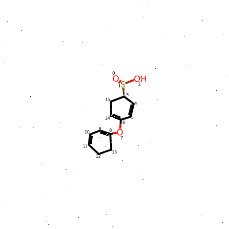 O=S(O)[C@H]1C=CC(OC2=CC=CCC2)=CC1